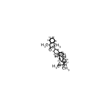 C[C@@H](C(=O)N(C)[C@H]1CC[C@@]2(C)C(=CC[C@H]3[C@@H]4CC[C@@H]5[C@H](C)N(C)C[C@@]54CC[C@@H]32)C1)c1ccccc1